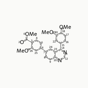 COC(=O)c1ccc(-c2ccc3ncnc(-c4ccc(OC)c(OC)c4)c3c2)cc1OC